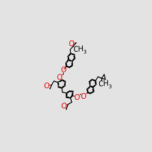 CC1(Cc2ccc3cc(OCOc4ccc(Cc5ccc(OCOc6ccc7ccc(CC8(C)CO8)cc7c6)c(CC6CO6)c5)cc4CC4CO4)ccc3c2)CC1